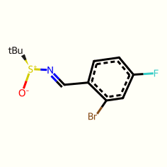 CC(C)(C)[S@+]([O-])N=Cc1ccc(F)cc1Br